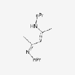 CCCN=C(C)C=C(C)NCCC